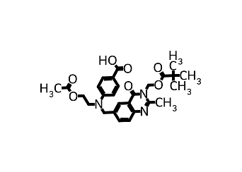 CC(=O)OCCN(Cc1ccc2nc(C)n(COC(=O)C(C)(C)C)c(=O)c2c1)c1ccc(C(=O)O)cc1